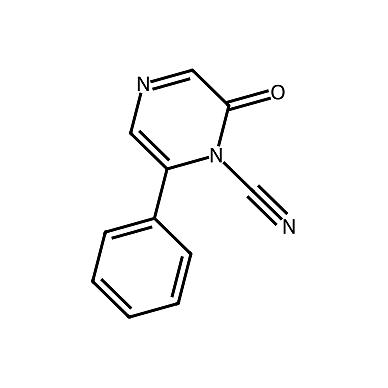 N#Cn1c(-c2ccccc2)cncc1=O